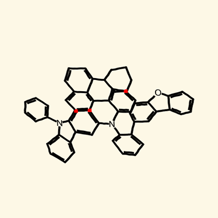 c1ccc(-n2c3ccccc3c3cc(N(c4ccccc4-c4ccc5oc6ccccc6c5c4)c4ccccc4-c4cccc5cccc(C6CCCCC6)c45)ccc32)cc1